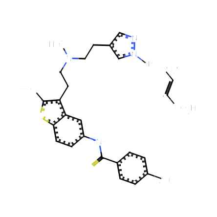 Cc1sc2ccc(NC(=S)c3ccc(C(C)C)cc3)cc2c1CCN(C)CCc1cnn(C(C)C)c1.O=C(O)/C=C/C(=O)O